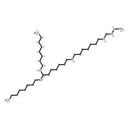 CCCCCCCCOC(CCCCCCOCCCCCCCOCOOC)OCCCCCCCC